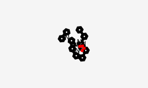 c1ccc(-c2cccc(-c3nc(-c4cccc(-c5ccccc5)c4)nc(-n4c5ccc(-n6c7ccccc7c7ccccc76)cc5c5ccc6c7ccccc7n(-c7ccccc7)c6c54)n3)c2)cc1